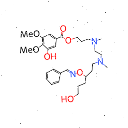 COc1cc(C(=O)OCCCN(C)CCN(C)CCC(CCCO)O/N=C/c2ccccc2)cc(O)c1OC